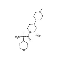 CN1CCC(C2CCN(C(=O)[C@](C)(N)C3CCOCC3)CC2)CC1.Cl.Cl